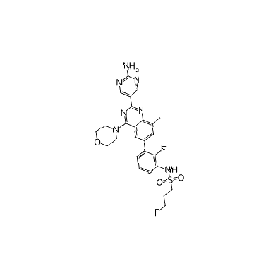 Cc1cc(-c2cccc(NS(=O)(=O)CCCF)c2F)cc2c(N3CCOCC3)nc(-c3cnc(N)nc3)nc12